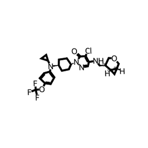 O=c1c(Cl)c(NC[C@H]2COC[C@@H]3C[C@@H]32)cnn1[C@H]1CC[C@H](N(c2ccc(OC(F)(F)F)cc2)C2CC2)CC1